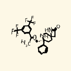 CC(OC[C@@]1(c2ccccc2)CCC2(CN1)CC(=O)N2)c1cc(C(F)(F)F)cc(C(F)(F)F)c1